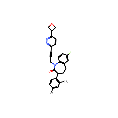 O=C1C(c2ccc(C(F)(F)F)cc2C(F)(F)F)CCc2cc(F)ccc2N1CC#Cc1ccc(C2COC2)nn1